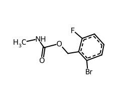 CNC(=O)OCc1c(F)cccc1Br